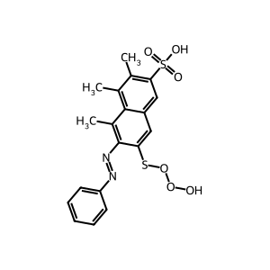 Cc1c(S(=O)(=O)O)cc2cc(SOOO)c(N=Nc3ccccc3)c(C)c2c1C